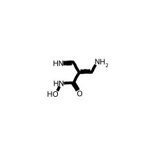 N=C/C(=C\N)C(=O)NO